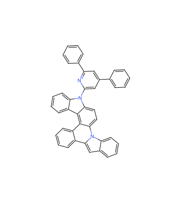 c1ccc(-c2cc(-c3ccccc3)nc(-n3c4ccccc4c4c5c6ccccc6c6cc7ccccc7n6c5ccc43)c2)cc1